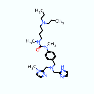 CCCN(CCC)CCCCN(C)C(=O)N(C)c1ccc(CN(Cc2ncc[nH]2)Cc2nccn2C)cc1